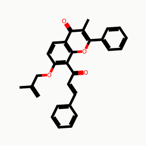 C=C(C)COc1ccc2c(=O)c(C)c(-c3ccccc3)oc2c1C(=O)C=Cc1ccccc1